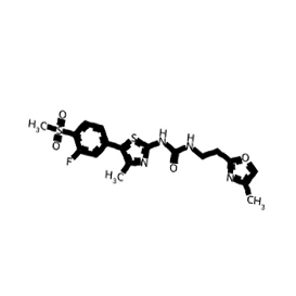 Cc1coc(CCNC(=O)Nc2nc(C)c(-c3ccc(S(C)(=O)=O)c(F)c3)s2)n1